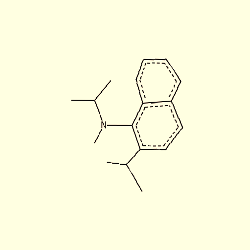 CC(C)c1ccc2ccccc2c1N(C)C(C)C